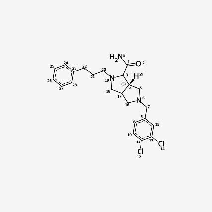 NC(=O)C1[C@@H]2CN(Cc3ccc(Cl)c(Cl)c3)CC2CN1CC[CH]c1ccccc1